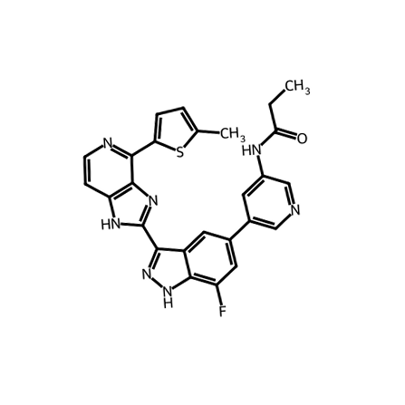 CCC(=O)Nc1cncc(-c2cc(F)c3[nH]nc(-c4nc5c(-c6ccc(C)s6)nccc5[nH]4)c3c2)c1